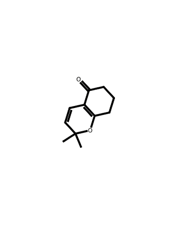 CC1(C)C=CC2=C(CCCC2=O)O1